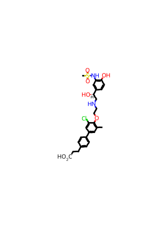 Cc1cc(-c2ccc(CCC(=O)O)cc2)cc(Cl)c1OCCNC[C@H](O)c1ccc(O)c(NS(C)(=O)=O)c1